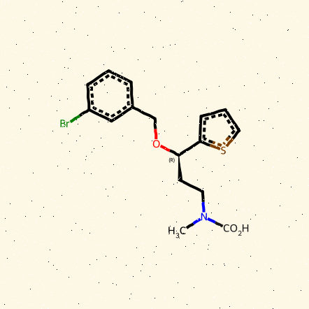 CN(CC[C@@H](OCc1cccc(Br)c1)c1cccs1)C(=O)O